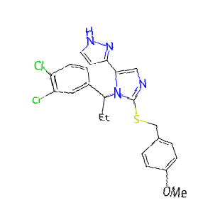 CCC(c1ccc(Cl)c(Cl)c1)n1c(-c2cc[nH]n2)cnc1SCc1ccc(OC)cc1